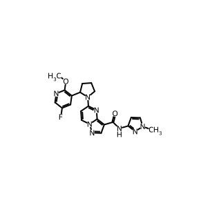 COc1ncc(F)cc1C1CCCN1c1ccn2ncc(C(=O)Nc3ccn(C)n3)c2n1